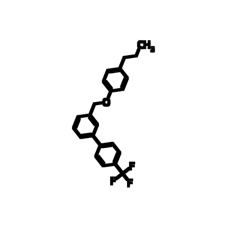 CCCc1ccc(OCc2cccc(-c3ccc(C(F)(F)F)cc3)c2)cc1